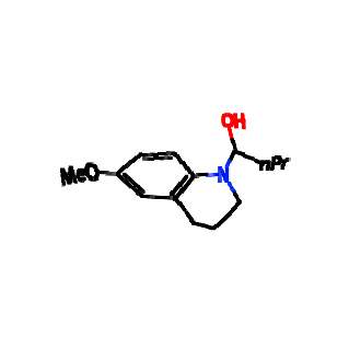 CCCC(O)N1CCCc2cc(OC)ccc21